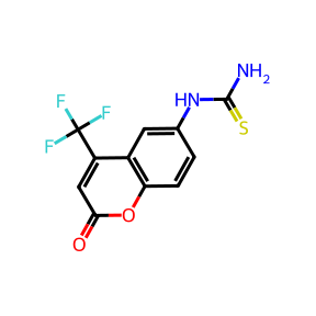 NC(=S)Nc1ccc2oc(=O)cc(C(F)(F)F)c2c1